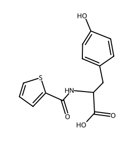 O=C(NC(Cc1ccc(O)cc1)C(=O)O)c1cccs1